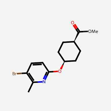 COC(=O)[C@H]1CC[C@@H](Oc2ccc(Br)c(C)n2)CC1